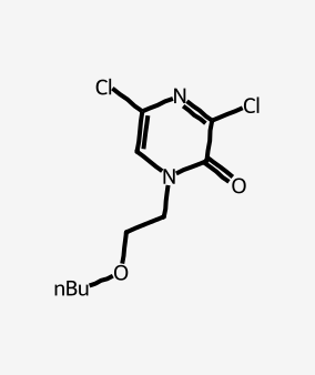 CCCCOCCn1cc(Cl)nc(Cl)c1=O